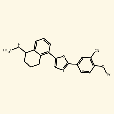 CC(C)Oc1ccc(-c2nnc(-c3cccc4c3CCCC4NC(=O)O)s2)cc1C#N